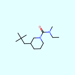 CCN(C)C(=O)N1CCCC(CC(C)(C)C)C1